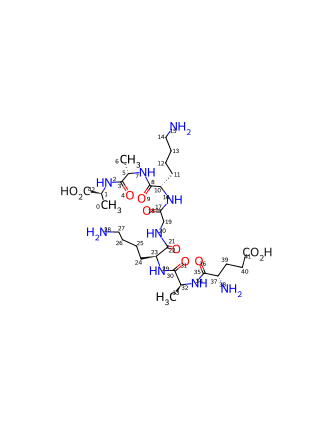 C[C@H](NC(=O)[C@H](C)NC(=O)[C@H](CCCCN)NC(=O)CNC(=O)[C@H](CCCCN)NC(=O)[C@H](C)NC(=O)[C@@H](N)CCC(=O)O)C(=O)O